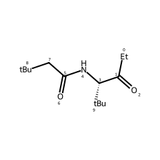 CCC(=O)[C@@H](NC(=O)CC(C)(C)C)C(C)(C)C